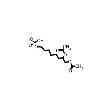 CC(=O)OCC(CCCCCCOP(=O)(O)O)OC(C)=O